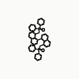 O=P(Cc1cccc2cccc(-c3cccc4cccc(CP(=O)(c5ccccc5)c5ccccc5)c34)c12)(c1ccccc1)c1ccccc1